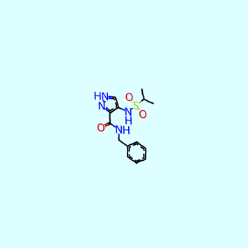 CC(C)S(=O)(=O)Nc1c[nH]nc1C(=O)NCc1ccccc1